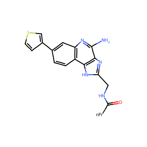 CCCC(=O)NCc1nc2c(N)nc3cc(-c4ccsc4)ccc3c2[nH]1